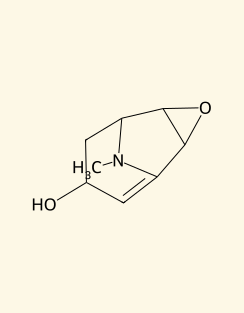 CN1C2=CC(O)CC1C1OC21